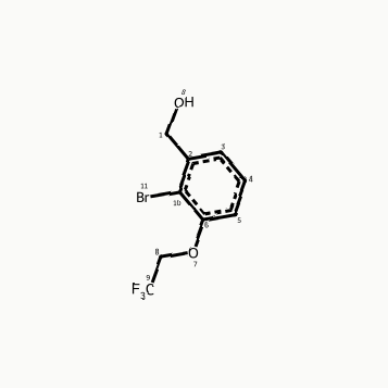 OCc1cccc(OCC(F)(F)F)c1Br